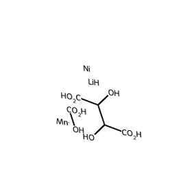 O=C(O)C(O)C(O)C(=O)O.O=C(O)O.[LiH].[Mn].[Ni]